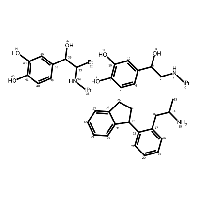 CC(C)NCC(O)c1ccc(O)c(O)c1.CC(N)Cc1ccccc1C1CCc2ccccc21.CCC(NC(C)C)C(O)c1ccc(O)c(O)c1